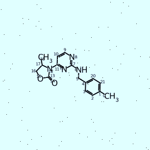 Cc1ccc(CNc2nccc(N3C(=O)OCC3C)n2)cc1